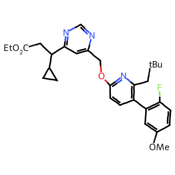 CCOC(=O)CC(c1cc(COc2ccc(-c3cc(OC)ccc3F)c(CC(C)(C)C)n2)ncn1)C1CC1